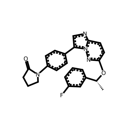 C[C@@H](Oc1ccc2ncc(-c3ccc(N4CCCC4=O)cc3)n2n1)c1cccc(F)c1